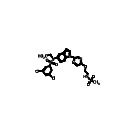 CS(=O)(=O)NCCOc1cnc(-n2ccc3cc(N(CC(=O)O)S(=O)(=O)C4C=C(Cl)C=C(Cl)C4)ccc32)cn1